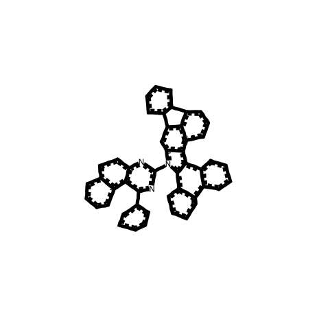 c1ccc(-c2nc(-n3c4cc5c6c(cccc6c4c4c6ccccc6c6ccccc6c43)-c3ccccc3-5)nc3ccc4ccccc4c23)cc1